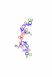 CN1OC(COC(=O)OCC2Cn3nc4c(c3C(=O)N(C)O2)CN(C(=O)Nc2ccc(F)c(Cl)c2)CC4)Cn2nc3c(c2C1=O)CN(C(=O)Nc1ccc(F)c(Cl)c1)CC3